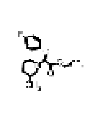 C[C@H]1CC[C@H](c2cccc(F)c2)N(C(=O)C(=O)OCC(F)(F)F)C1